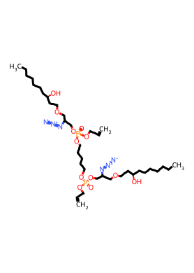 C=CCOP(=O)(OCCCCCOP(=O)(OCC=C)OCC(COCC[C@H](O)CCCCCCC)N=[N+]=[N-])OCC(COCC[C@H](O)CCCCCCC)N=[N+]=[N-]